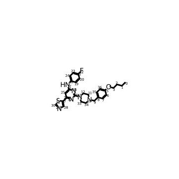 CCCCOc1ccc(CN2CCN(c3nc(Nc4ccc(F)cc4)cc(-c4cncs4)n3)CC2)cc1